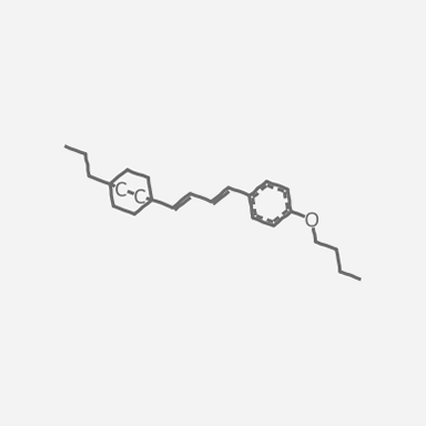 CCCCOc1ccc(C=CC=CC23CCC(CCC)(CC2)CC3)cc1